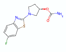 NC(=O)O[C@@H]1CCN(c2nc3ccc(F)cc3s2)C1